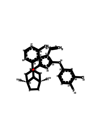 C=Cn1nc(NC2[C@@H]3CC[C@H]2CN(c2cc(C)ncn2)C3)nc1Oc1ccc(F)c(Cl)c1